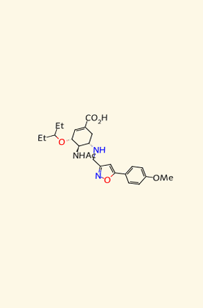 CCC(CC)O[C@@H]1C=C(C(=O)O)C[C@H](NCc2cc(-c3ccc(OC)cc3)on2)[C@H]1NC(C)=O